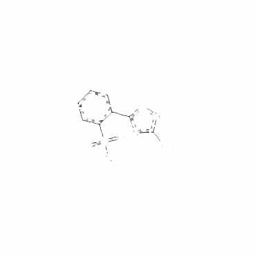 Cc1noc(-c2ccccc2S(N)(=O)=O)n1